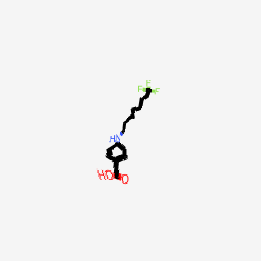 O=C(O)c1ccc(NCCCCCCCC(F)(F)F)cc1